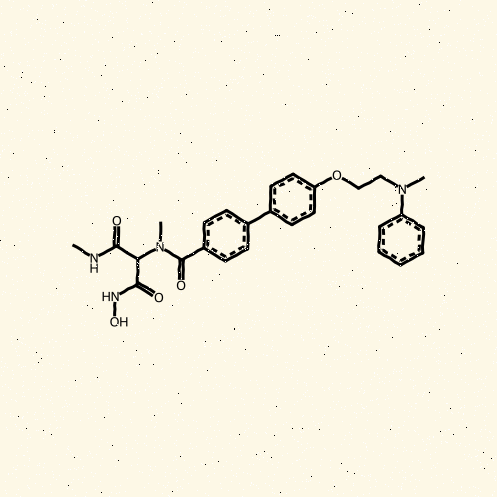 CNC(=O)C(C(=O)NO)N(C)C(=O)c1ccc(-c2ccc(OCCN(C)c3ccccc3)cc2)cc1